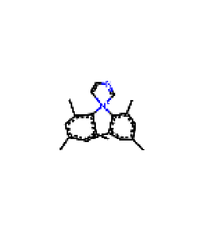 Cc1cc(C)c([N+]2(c3c(C)cc(C)cc3C)C=CN=C2)c(C)c1